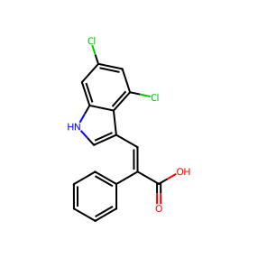 O=C(O)/C(=C/c1c[nH]c2cc(Cl)cc(Cl)c12)c1ccccc1